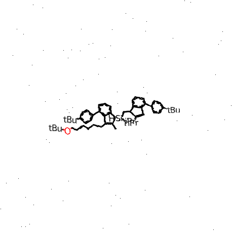 CCC[SiH](CC1C(C(C)C)=Cc2c(-c3ccc(C(C)(C)C)cc3)cccc21)C1C(C)=C(CCCCCCOC(C)(C)C)c2c(-c3ccc(C(C)(C)C)cc3)cccc21